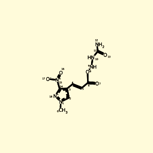 Cn1cc(C=CC(=O)ONNC(N)=O)c([N+](=O)[O-])n1